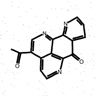 CC(=O)c1cnc2c3c(nccc13)C(=O)c1cccnc1-2